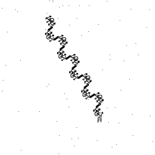 C[SiH](C)O[Si](C)(C)CC[Si](C)(C)O[Si](C)(C)CC[Si](C)(C)O[Si](C)(C)CC[Si](C)(C)O[Si](C)(C)CC[Si](C)(C)O[Si](C)(C)CC[Si](C)(C)O[Si](C)(C)CC[Si](C)(C)O[Si](C)(C)CC[Si](C)(C)O[Si](C)(C)CC[Si](C)(C)O[Si](C)(C)CC[Si](C)(C)O[Si](C)(C)C